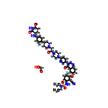 CCN(C)S(=O)(=O)Nc1ccc(F)c(Oc2ccc3ncn(-c4ccc(N5CCN(C(=O)CN6CCC(c7ccc(NC8CCC(=O)NC8=O)cc7F)CC6)CC5)nc4)c(=O)c3c2)c1C#N.O=CO